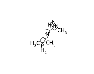 Cc1cc(C2CCCN(Cc3ccc(C)c(P)c3C)C2)n2ncnc2n1